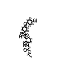 CCOC(=O)Cn1ncc2c1CCCC2NS(=O)(=O)c1ccc(Oc2ccc(Cl)cc2)cc1